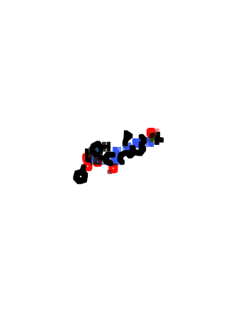 COc1cc(C(=O)N2[C@H]3CC[C@@H]2[C@H](NC(=O)OCc2ccccc2)C3)cc2nc(-c3cc4ccc(/C(C)=N/[S@@+]([O-])C(C)(C)C)nc4n3CC3CC3)c(C)n12